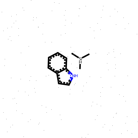 C[SiH](C)C.c1ccc2[nH]ccc2c1